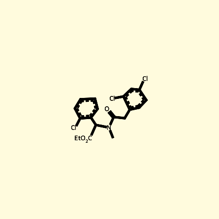 CCOC(=O)C(c1ccccc1Cl)N(C)C(=O)Cc1ccc(Cl)cc1Cl